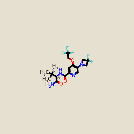 CC(C)(C)[C@@H](NC(=O)c1cc(OCC(F)(F)F)c(N2CC(F)(F)C2)cn1)C(N)=O